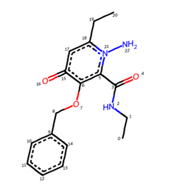 CCNC(=O)c1c(OCc2ccccc2)c(=O)cc(CC)n1N